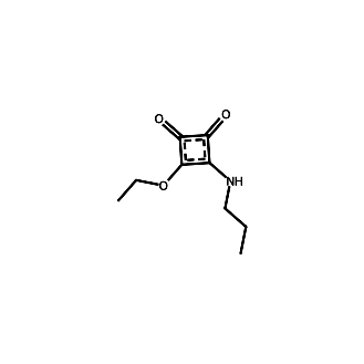 CCCNc1c(OCC)c(=O)c1=O